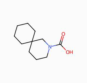 O=C(O)N1CCCC2(CCCCC2)C1